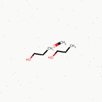 C=O.CCCO.CCCO